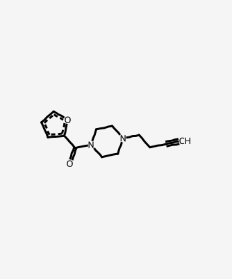 C#CCCN1CCN(C(=O)c2ccco2)CC1